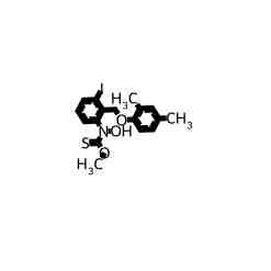 COC(=S)N(O)c1cccc(I)c1COc1ccc(C)cc1C